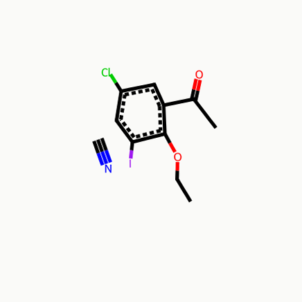 C#N.CCOc1c(I)cc(Cl)cc1C(C)=O